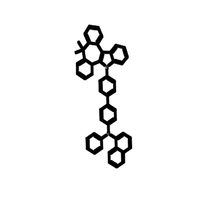 CC1(C)C2=CC=CCC2c2c(c3ccccc3n2-c2ccc(-c3ccc(N(c4ccccc4)c4cccc5ccccc45)cc3)cc2)-c2ccccc21